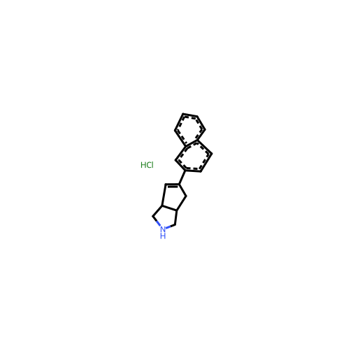 C1=C(c2ccc3ccccc3c2)CC2CNCC12.Cl